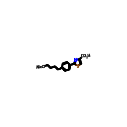 COCCCCc1ccc(-c2nc(C(=O)O)cs2)cc1